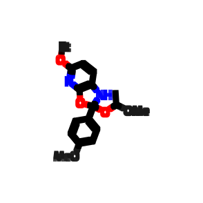 CCOc1ccc2c(n1)OC(OC(C)OC)(c1ccc(OC)cc1)N2